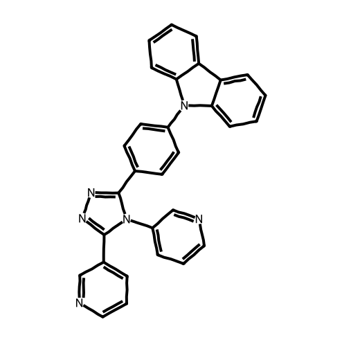 c1cncc(-c2nnc(-c3ccc(-n4c5ccccc5c5ccccc54)cc3)n2-c2cccnc2)c1